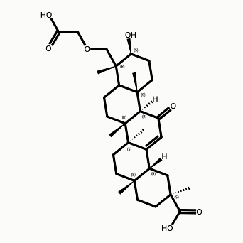 C[C@]1(C(=O)O)CC[C@]2(C)CC[C@]3(C)C(=CC(=O)[C@@H]4[C@@]5(C)CC[C@H](O)[C@@](C)(COCC(=O)O)C5CC[C@]43C)[C@@H]2C1